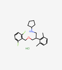 Cc1cccc(C)c1C(CNC1CCCC1)COCc1c(F)cccc1F.Cl